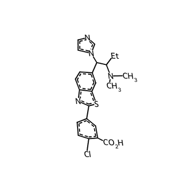 CCC(C(c1ccc2nc(-c3ccc(Cl)c(C(=O)O)c3)sc2c1)n1ccnc1)N(C)C